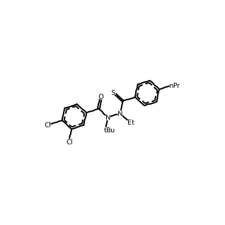 CCCc1ccc(C(=S)N(CC)N(C(=O)c2ccc(Cl)c(Cl)c2)C(C)(C)C)cc1